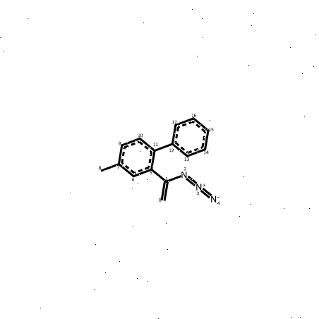 C=C(N=[N+]=[N-])c1cc(C)ccc1-c1ccccc1